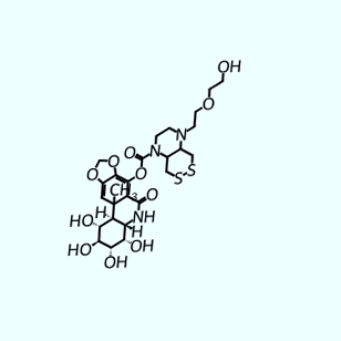 CC12C=C3OCOC3=C(OC(=O)N3CCN(CCOCCO)C4CSSCC43)C1C(=O)N[C@@H]1[C@H](O)[C@H](O)[C@@H](O)[C@H](O)[C@H]12